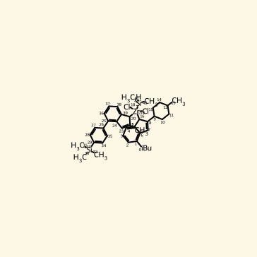 CCC(C)c1cccc2c1C=C(C1CCC(C)CC1)[CH]2[Zr]([Cl])([Cl])([CH]1C(C)=Cc2c(-c3ccc([Si](C)(C)C)cc3)cccc21)[SiH](C)C